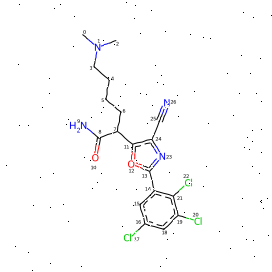 CN(C)CCCCC(C(N)=O)c1oc(-c2cc(Cl)cc(Cl)c2Cl)nc1C#N